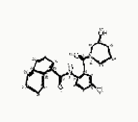 O=C(Nc1ccc(Cl)cc1C(=O)N1CCCC(O)C1)c1cccc2ccccc12